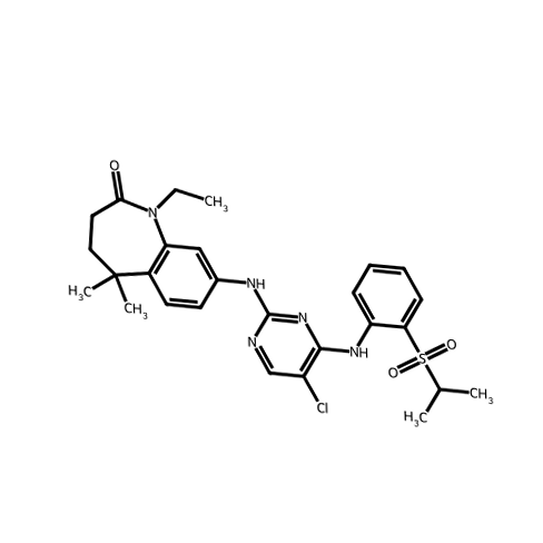 CCN1C(=O)CCC(C)(C)c2ccc(Nc3ncc(Cl)c(Nc4ccccc4S(=O)(=O)C(C)C)n3)cc21